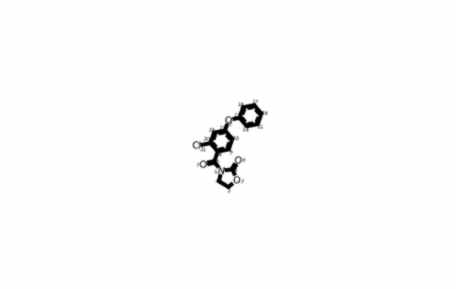 O=C1OCCN1C(=O)c1ccc(Oc2ccccc2)cc1Cl